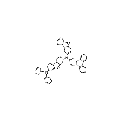 C1=CC2c3ccccc3-c3ccccc3C2C=C1N(c1ccc2c(c1)oc1cc(N(c3ccccc3)c3ccccc3)ccc12)c1ccc2oc3ccccc3c2c1